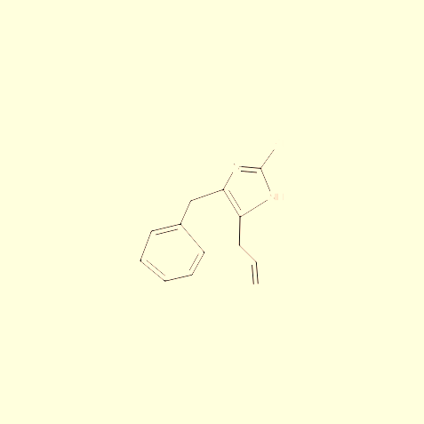 C=CCc1[nH]c(Cl)nc1Cc1ccccc1